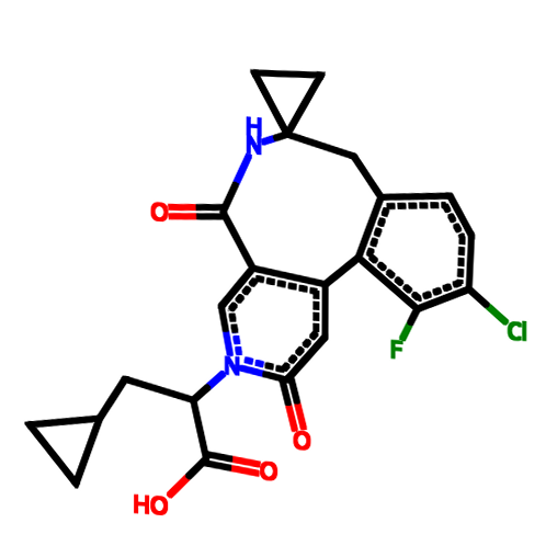 O=C1NC2(CC2)Cc2ccc(Cl)c(F)c2-c2cc(=O)n(C(CC3CC3)C(=O)O)cc21